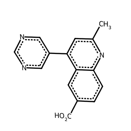 Cc1cc(-c2cncnc2)c2cc(C(=O)O)ccc2n1